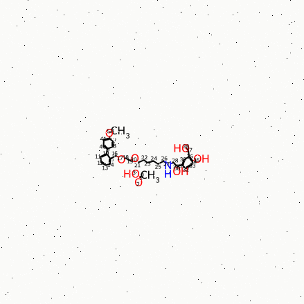 CC(=O)O.COc1ccc(-c2ccccc2COCCOCCCCCCNC[C@H](O)c2ccc(O)c(CO)c2)cc1